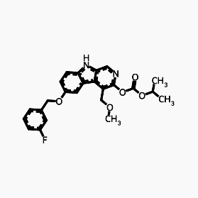 COCc1c(OC(=O)OC(C)C)ncc2[nH]c3ccc(OCc4cccc(F)c4)cc3c12